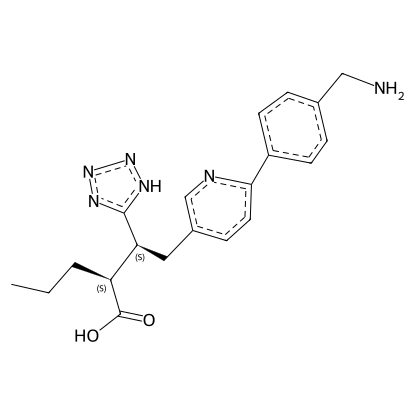 CCC[C@H](C(=O)O)[C@H](Cc1ccc(-c2ccc(CN)cc2)nc1)c1nnn[nH]1